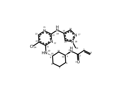 C=CC(=O)N[C@H]1CCC[C@H](Nc2nc(Nc3cnn(C)c3)ncc2Cl)C1